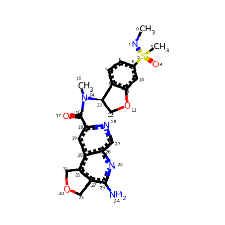 CN=S(C)(=O)c1ccc2c(c1)OC[C@H]2N(C)C(=O)c1cc2c3c(c(N)nc2cn1)COC3